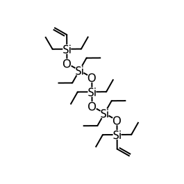 C=C[Si](CC)(CC)O[Si](CC)(CC)O[Si](CC)(CC)O[Si](CC)(CC)O[Si](C=C)(CC)CC